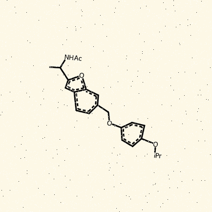 CC(=O)NC(C)c1cc2ccc(COc3ccc(OC(C)C)cc3)cc2o1